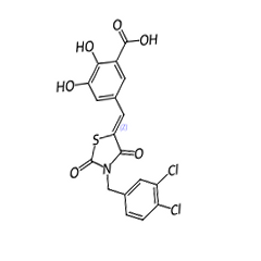 O=C(O)c1cc(/C=C2\SC(=O)N(Cc3ccc(Cl)c(Cl)c3)C2=O)cc(O)c1O